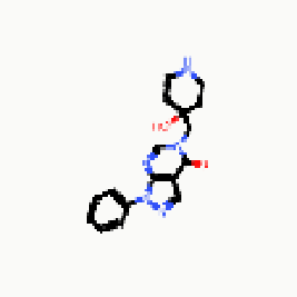 O=c1c2cnn(-c3ccccc3)c2ncn1CC1(O)CCNCC1